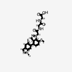 CSc1ccc(-c2cc3c(cnn3C)cc2F)c2cnn(CC(=O)NCC(=O)NCC(=O)O)c12